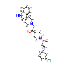 O=C(/C=C/c1cccc(Cl)c1)N1CCC(C(O)CN2CCC3(CC2)CNc2ccccc23)CC1